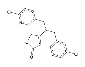 O=C1C=C(N(Cc2ccc(Cl)nc2)Cc2cccc(Cl)c2)CO1